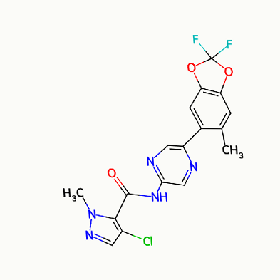 Cc1cc2c(cc1-c1cnc(NC(=O)c3c(Cl)cnn3C)cn1)OC(F)(F)O2